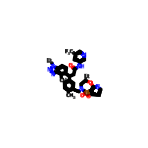 CC[C@@H]1CN(Cc2cc(C(CC(=O)Nc3cncc(C(F)(F)F)c3)c3ccc4c(nnn4CC)c3C)ccc2C)S(=O)(=O)c2cccnc2O1